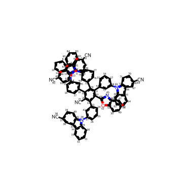 N#Cc1ccc2c(c1)c1ccccc1n2-c1cccc(-c2c(C#N)c(-c3cccc(-n4c5ccccc5c5cc(C#N)ccc54)c3)c(-c3nc4ccccc4o3)c(-c3cccc(-n4c5ccccc5c5cc(C#N)ccc54)c3)c2-c2cccc(-n3c4ccccc4c4cc(C#N)ccc43)c2)c1